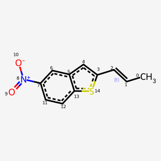 C/C=C/c1cc2cc([N+](=O)[O-])ccc2s1